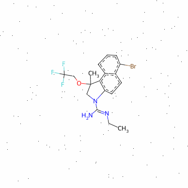 CCN=C(N)N1CC(C)(OCC(F)(F)F)c2c1ccc1c(Br)cccc21